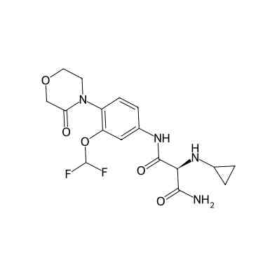 NC(=O)[C@H](NC1CC1)C(=O)Nc1ccc(N2CCOCC2=O)c(OC(F)F)c1